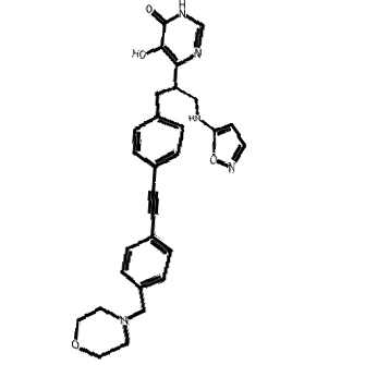 O=c1[nH]cnc(C(CNc2ccno2)Cc2ccc(C#Cc3ccc(CN4CCOCC4)cc3)cc2)c1O